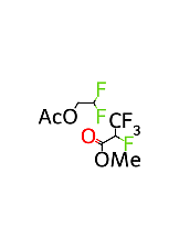 CC(=O)OCC(F)F.COC(=O)C(F)C(F)(F)F